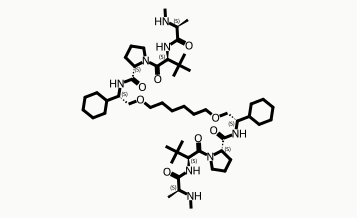 CN[C@@H](C)C(=O)N[C@H](C(=O)N1CCC[C@H]1C(=O)N[C@H](COCCCCCCOC[C@@H](NC(=O)[C@@H]1CCCN1C(=O)[C@@H](NC(=O)[C@H](C)NC)C(C)(C)C)C1CCCCC1)C1CCCCC1)C(C)(C)C